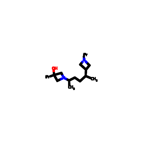 CC(CCC(C)N1CC(O)(C(C)C)C1)C1CN(C(C)C)C1